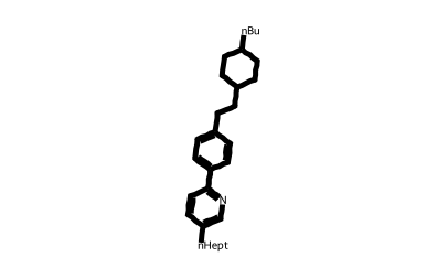 CCCCCCCc1ccc(-c2ccc(CCC3CCC(CCCC)CC3)cc2)nc1